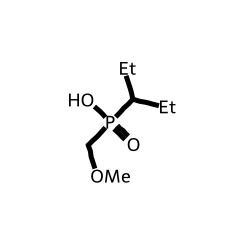 CCC(CC)P(=O)(O)COC